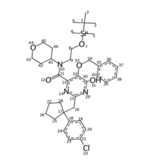 CC(C)(C)[Si](C)(C)OCCN(C(=O)c1nc(CC2(c3ccc(Cl)cc3)CCCC2)nc(O)c1OCc1ccccc1)C1CCOCC1